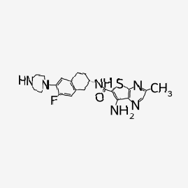 Cc1cnc2c(N)c(C(=O)N[C@H]3CCc4cc(N5CCNCC5)c(F)cc4C3)sc2n1